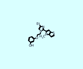 CCc1cn(CCOc2cccc(O)c2)c(-c2cc3sccc3n2C)n1